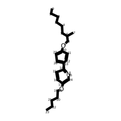 CCCCCCC(C)COc1ccc(-c2ccc(OCCCCC)cn2)cc1